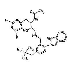 CC(=O)NC(Cc1cc(F)cc(F)c1)C(O)CNCc1cc(CC(C)(C)C)ccc1-c1cc2ccccc2[nH]1